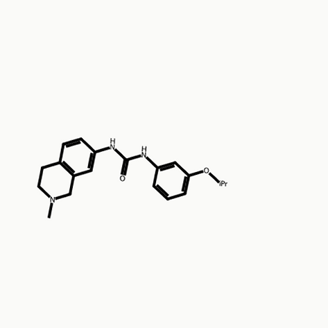 CC(C)Oc1cccc(NC(=O)Nc2ccc3c(c2)CN(C)CC3)c1